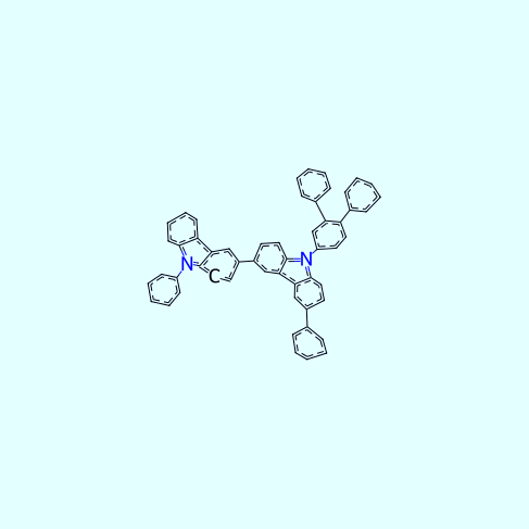 c1ccc(-c2ccc3c(c2)c2cc(-c4ccc5c(c4)c4ccccc4n5-c4ccccc4)ccc2n3-c2ccc(-c3ccccc3)c(-c3ccccc3)c2)cc1